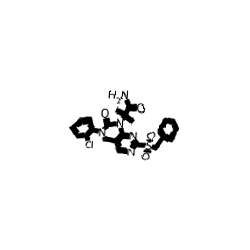 CC(C)(C(N)=O)N1C(=O)N(c2ccccc2Cl)Cc2cnc(S(=O)(=O)Cc3ccccc3)nc21